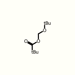 CC(C)(C)OCOC(=O)C(C)(C)C